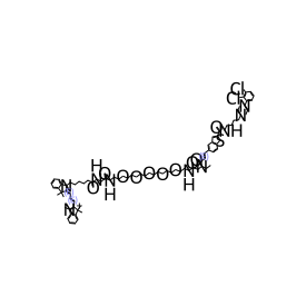 CCN(CC(=O)NCCOCCOCCOCCOCCOCCNC(=O)CNC(=O)CCCCCN1/C(=C/C=C/C2=[N+](C)c3ccccc3C2(C)C)C(C)(C)c2ccccc21)C(=O)/C=C/c1ccc2sc(C(=O)NCCCCN3CCN(c4cccc(Cl)c4Cl)CC3)cc2c1